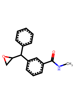 CNC(=O)c1cccc(C(c2ccccc2)C2CO2)c1